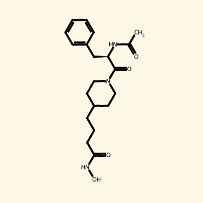 CC(=O)N[C@H](Cc1ccccc1)C(=O)N1CCC(CCCC(=O)NO)CC1